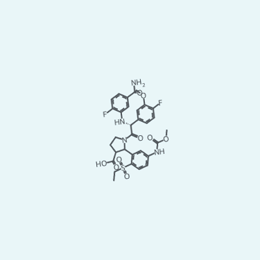 CCS(=O)(=O)c1ccc(NC(=O)OC)cc1C1C(C(=O)O)CCN1C(=O)[C@H](Nc1cc(C(N)=O)ccc1F)c1ccc(F)c(OC)c1